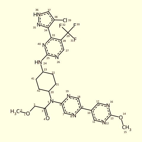 COCC(=O)N(c1cnc(-c2cnc(OC)nc2)cn1)C1CCC(Nc2ncc(C(F)(F)F)c(-c3n[nH]cc3Cl)n2)CC1